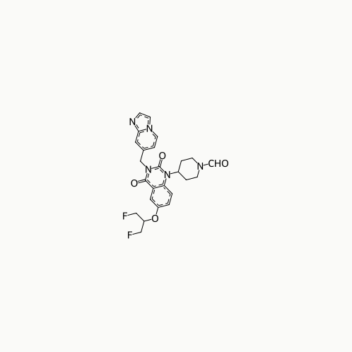 O=CN1CCC(n2c(=O)n(Cc3ccn4ccnc4c3)c(=O)c3cc(OC(CF)CF)ccc32)CC1